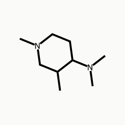 CC1CN(C)CCC1N(C)C